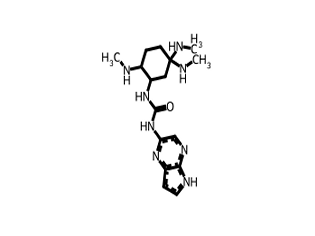 CNC1CCC(NC)(NC)CC1NC(=O)Nc1cnc2[nH]ccc2n1